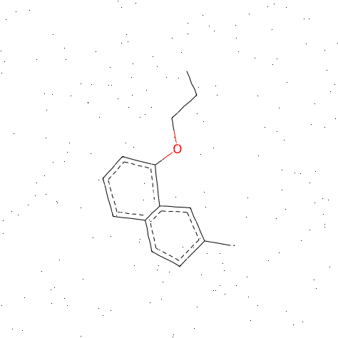 [CH2]c1ccc2cccc(OCCC)c2c1